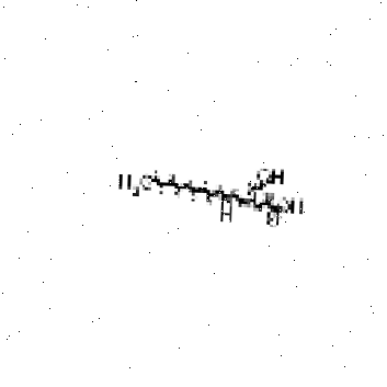 CCCCCCCCCCNCCN(CCO)CCC(=O)O